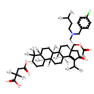 CC(=O)O[C@@H](CN(CCC(C)C)Cc1ccc(Cl)cc1)[C@@]12CC[C@]3(C)[C@H](CC[C@@H]4[C@@]5(C)CC[C@H](OC(=O)CC(C)(C)C(=O)O)C(C)(C)[C@@H]5CC[C@]43C)C1=C(C(C)C)C(=O)C2